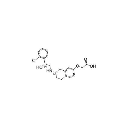 O=C(O)COc1ccc2c(c1)C[C@@H](NC[C@H](O)c1ccccc1Cl)CC2